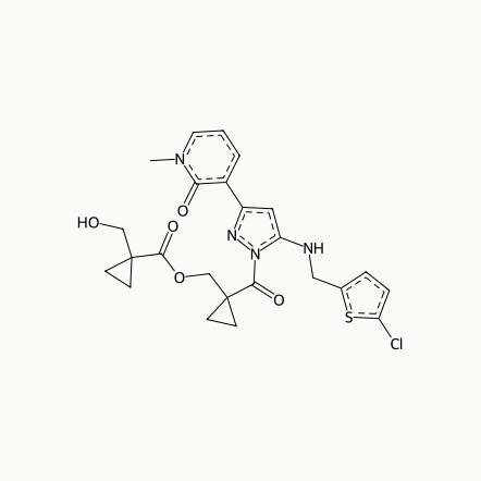 Cn1cccc(-c2cc(NCc3ccc(Cl)s3)n(C(=O)C3(COC(=O)C4(CO)CC4)CC3)n2)c1=O